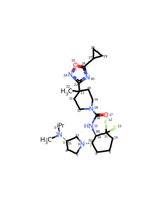 CC(C)N(C)[C@H]1CCN([C@H]2CCCC(F)(F)[C@@H]2NC(=O)N2CCC(C)(c3noc(C4CC4)n3)CC2)C1